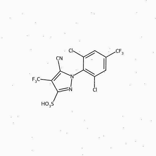 N#Cc1c(C(F)(F)F)c(S(=O)(=O)O)nn1-c1c(Cl)cc(C(F)(F)F)cc1Cl